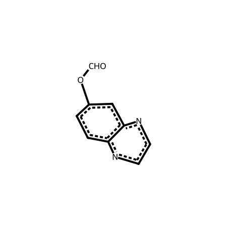 O=COc1ccc2nccnc2c1